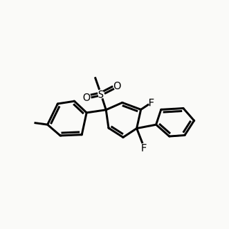 Cc1ccc(C2(S(C)(=O)=O)C=CC(F)(c3ccccc3)C(F)=C2)cc1